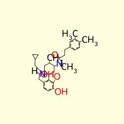 Cc1ccc(CCC(=O)N(C)C2C(C)C[C@@]3(O)[C@H]4Cc5ccc(O)c6c5[C@@]3(CCN4CC3CC3)C2O6)cc1C